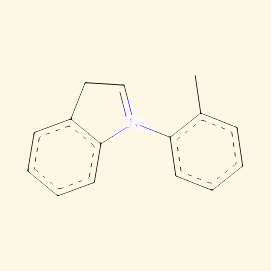 Cc1ccccc1[N+]1=CCc2ccccc21